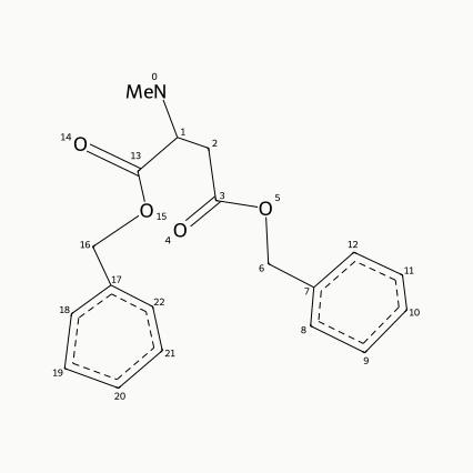 CNC(CC(=O)OCc1ccccc1)C(=O)OCc1ccccc1